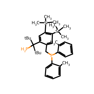 Cc1ccccc1P(Cc1cc([Si](C)(C)C)c([Si](C)(C)C)cc1C(P)(C(C)(C)C)C(C)(C)C)c1ccccc1C